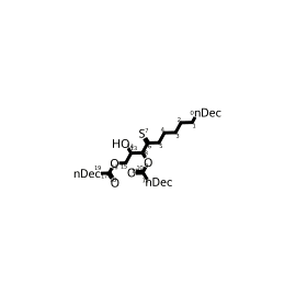 CCCCCCCCCCCCCCCC(=S)C(OC(=O)CCCCCCCCCC)C(O)COC(=O)CCCCCCCCCC